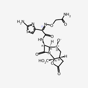 NC(=O)CO/N=C(\C(=O)N[C@@H]1C(=O)N2[C@@H]1[S@@+]([O-])C[C@@H]1CC(=O)O[C@@]12C(=O)O)c1csc(N)n1